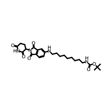 CC(C)(C)OC(=O)NCCCCCCCCCNc1ccc2c(c1)C(=O)N(C1CCC(=O)NC1=O)C2=O